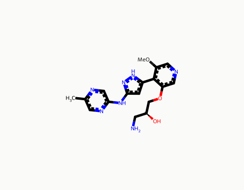 COc1cncc(OC[C@@H](O)CN)c1-c1cc(Nc2cnc(C)cn2)n[nH]1